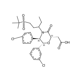 CCC(CCS(=O)(=O)C(C)(C)C)N1C(=O)[C@H](CC(=O)O)O[C@H](c2cccc(Cl)c2)[C@H]1c1ccc(Cl)cc1